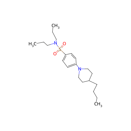 CCCCC1CCN(c2ccc(S(=O)(=O)N(CCC)CCC)cc2)CC1